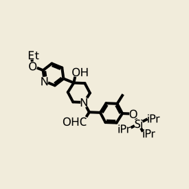 CCOc1ccc(C2(O)CCN(C(C=O)c3ccc(O[Si](C(C)C)(C(C)C)C(C)C)c(C)c3)CC2)cn1